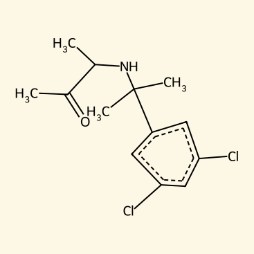 CC(=O)C(C)NC(C)(C)c1cc(Cl)cc(Cl)c1